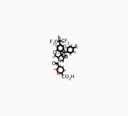 O=C(O)C12CCC(C(=O)N3CCC4(S(=O)(=O)c5ccc(F)cc5)c5ccc(C(F)(C(F)(F)F)C(F)(F)F)cc5OCC34)(CC1)CC2